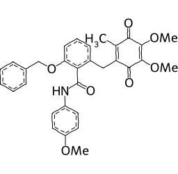 COC1=C(OC)C(=O)C(Cc2cccc(OCc3ccccc3)c2C(=O)Nc2ccc(OC)cc2)=C(C)C1=O